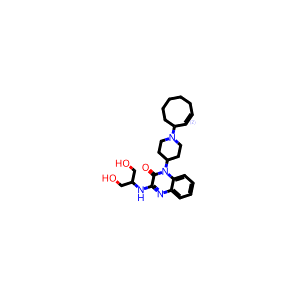 O=c1c(NC(CO)CO)nc2ccccc2n1C1CCN(C2/C=C\CCCCC2)CC1